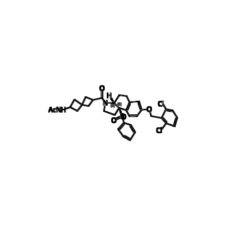 CC(=O)NC1CC2(C1)CC(C(=O)N1CC[C@@]3(S(=O)(=O)c4ccccc4)c4ccc(OCc5c(Cl)cccc5Cl)cc4CC[C@@H]13)C2